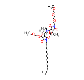 CCCCCCCCCCCCCCCCN1C(=O)C2C(OCCOCC)OC(C(C)(C)N(C)C3OC(C)C4C(=O)N(CCOCCOCCOC)C(=O)C43)C2C1=O